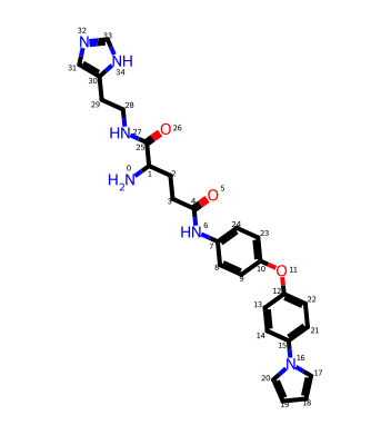 NC(CCC(=O)Nc1ccc(Oc2ccc(-n3cccc3)cc2)cc1)C(=O)NCCc1cnc[nH]1